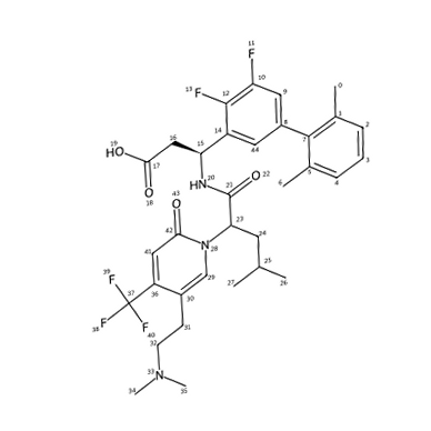 Cc1cccc(C)c1-c1cc(F)c(F)c([C@H](CC(=O)O)NC(=O)C(CC(C)C)n2cc(CCN(C)C)c(C(F)(F)F)cc2=O)c1